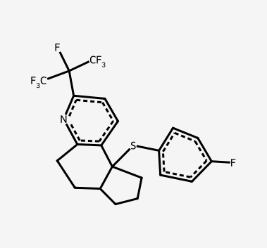 Fc1ccc(SC23CCCC2CCc2nc(C(F)(C(F)(F)F)C(F)(F)F)ccc23)cc1